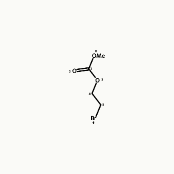 COC(=O)OCCBr